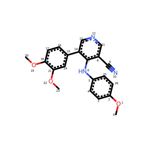 COc1ccc(Nc2c(C#N)cncc2-c2ccc(OC)c(OC)c2)cc1